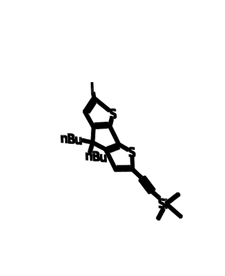 CCCCC1(CCCC)c2cc(I)sc2-c2sc(C#C[Si](C)(C)C)cc21